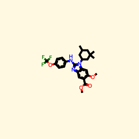 COC(=O)c1cc2nc(Nc3ccc(OC(F)(F)F)cc3)n(C3CC(C)CC(C)(C)C3)c2cc1OC